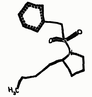 CCCCC1CCCN1S(=O)(=O)Cc1ccccc1